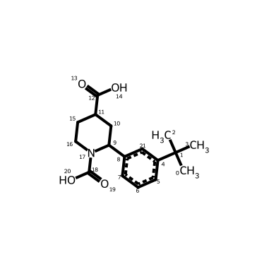 CC(C)(C)c1cccc(C2CC(C(=O)O)CCN2C(=O)O)c1